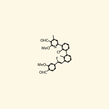 COc1cc(/C(F)=C/c2cccc(-c3cccc(-c4cc(C)c(C=O)c(OC)n4)c3Cl)c2C)ccc1C=O